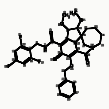 COC1c2c(C(=O)NCc3c(F)cc(F)cc3F)c(=O)c(OCc3ccccc3)c3n2C2(CCCCN(C2)C3=O)C1OC